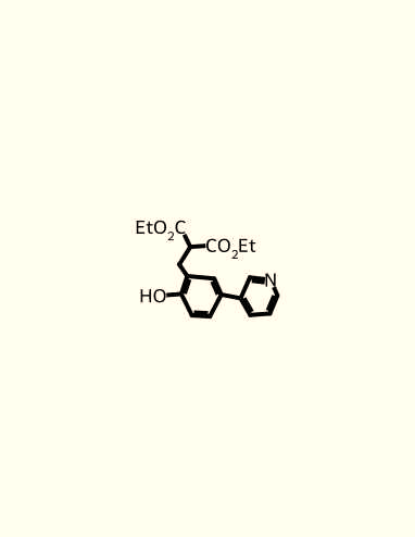 CCOC(=O)C(Cc1cc(-c2cccnc2)ccc1O)C(=O)OCC